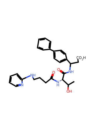 CC(O)[C@H](NC(=O)CCCNc1ccccn1)C(=O)NC(CC(=O)O)c1ccc(-c2ccccc2)cc1